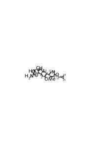 COc1cc2c(cc1-c1ccc(OCC3CC3)nc1)CC(C)(C)C2OC(N)=O